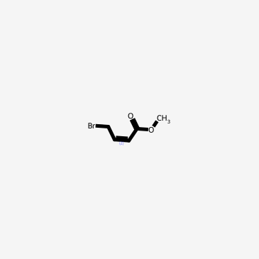 COC(=O)/C=C\CBr